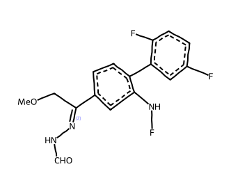 COC/C(=N\NC=O)c1ccc(-c2cc(F)ccc2F)c(NF)c1